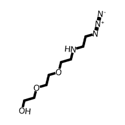 [N-]=[N+]=NCCNCCOCCOCCO